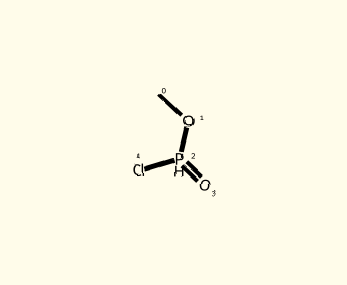 CO[PH](=O)Cl